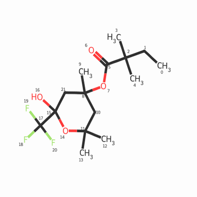 CCC(C)(C)C(=O)OC1(C)CC(C)(C)OC(O)(C(F)(F)F)C1